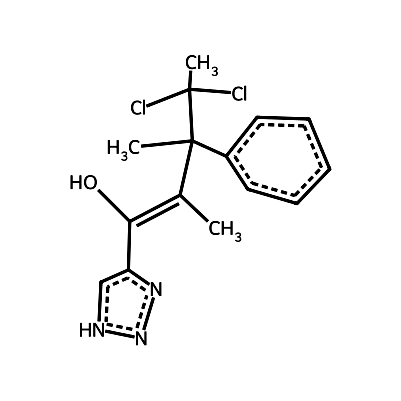 CC(=C(O)c1c[nH]nn1)C(C)(c1ccccc1)C(C)(Cl)Cl